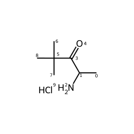 CC(N)C(=O)C(C)(C)C.Cl